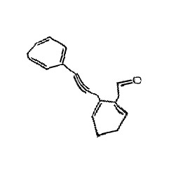 O=CC1=CCCC=C1C#Cc1ccccc1